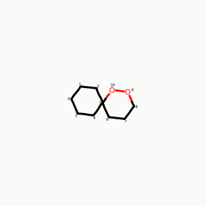 [CH]1CCC2(CC1)CCCOO2